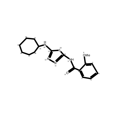 COc1ccccc1C(=O)Nc1nnc(NC2CCCCCC2)s1